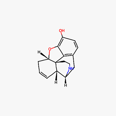 Oc1ccc2c3c1O[C@H]1CC=C[C@H]4[C@@H](C2)NCC[C@]314